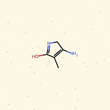 CC1=C(N)CN=C1O